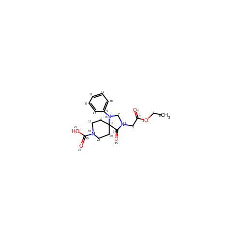 CCOC(=O)CN1CN(c2ccccc2)C2(CCN(C(=O)O)CC2)C1=O